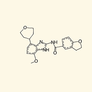 COc1ccc(C2CCOCC2)c2nc(NC(=O)c3ccc4c(c3)CCO4)[nH]c12